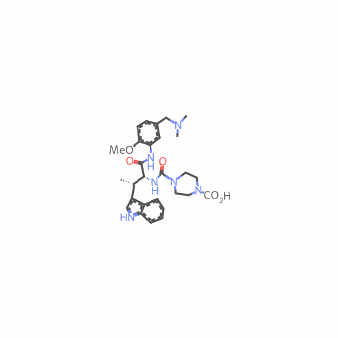 COc1ccc(CN(C)C)cc1NC(=O)[C@H](NC(=O)N1CCN(C(=O)O)CC1)[C@@H](C)c1c[nH]c2ccccc12